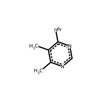 CCCc1ncnc(C)c1C